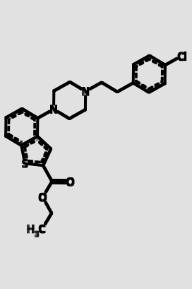 CCOC(=O)c1cc2c(N3CCN(CCc4ccc(Cl)cc4)CC3)cccc2s1